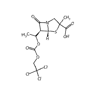 CC(OC(=O)OCC(Cl)(Cl)Cl)[C@H]1C(=O)N2CC(C)(C(=O)O)S[C@H]12